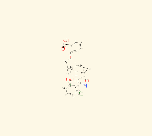 O=C(O)c1ccccc1OC1CCC2(CC1)CC(O)(c1c(-c3c(Cl)cccc3Cl)noc1C1CC1)C2